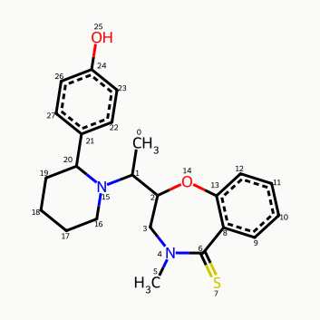 CC(C1CN(C)C(=S)c2ccccc2O1)N1CCCCC1c1ccc(O)cc1